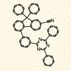 N#Cc1ccc2c(c1)C(c1ccccc1)(c1ccccc1)c1cccc(-c3cccc(-c4nc(-c5ccccc5)nc(-c5ccccc5)n4)c3)c1-2